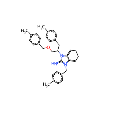 Cc1ccc(COCC(Cc2ccc(C)cc2)n2c3c(n(Cc4ccc(C)cc4)c2=N)=CCCC=3)cc1